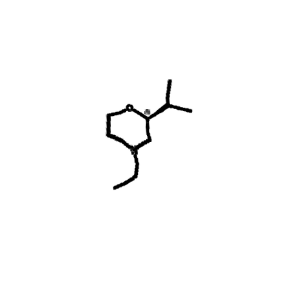 CCN1CCO[C@@H](C(C)C)C1